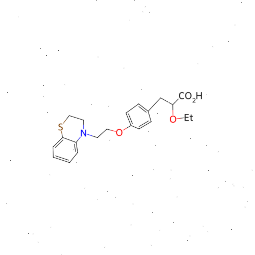 CCOC(Cc1ccc(OCCN2CCSc3ccccc32)cc1)C(=O)O